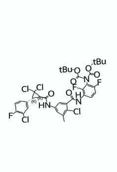 Cc1cc(NC(=O)[C@H]2[C@H](c3ccc(F)c(Cl)c3)C2(Cl)Cl)cc(C(=O)Nc2ccc(F)c(N(C(=O)OC(C)(C)C)C(=O)OC(C)(C)C)c2F)c1Cl